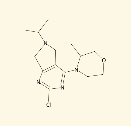 CC(C)N1Cc2nc(Cl)nc(N3CCOCC3C)c2C1